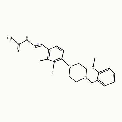 COc1ccccc1CN1CCN(c2ccc(/C=N/NC(N)=S)c(F)c2F)CC1